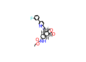 CCOC(=O)N[C@H]1CC[C@@H]2[C@@H](C1)C[C@@H]1C(=O)O[C@@H](C)[C@H]1[C@@H]2/C=C/c1ccc(-c2cccc(F)c2)cn1